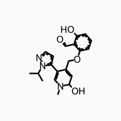 CC(C)n1nccc1C1=CN(C)C(O)C=C1COc1cccc(O)c1C=O